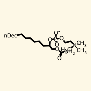 CCCCCCCCCCCCCCCCC(COC(N)=O)OP(=O)([O-])OCC[N+](C)(C)C